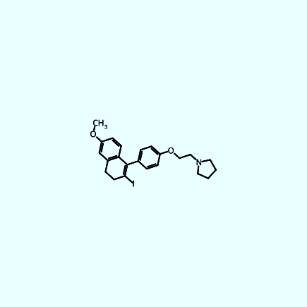 COc1ccc2c(c1)CCC(I)=C2c1ccc(OCCN2CCCC2)cc1